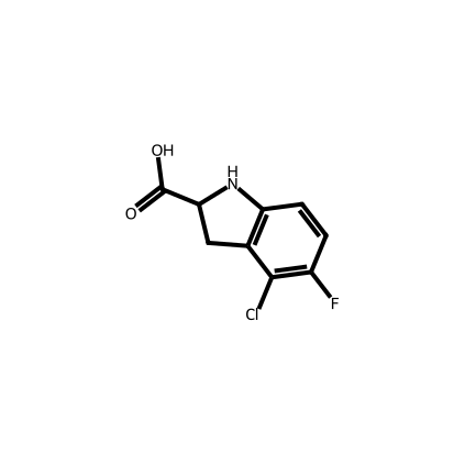 O=C(O)C1Cc2c(ccc(F)c2Cl)N1